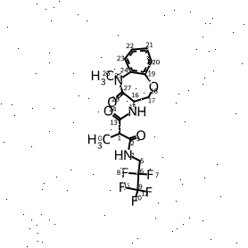 CC(C(=O)NCC(F)(F)C(F)(F)F)C(=O)N[C@H]1COc2ccccc2N(C)C1=O